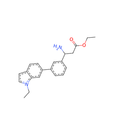 CCOC(=O)CC(N)c1cccc(-c2ccc3ccn(CC)c3c2)c1